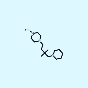 CC(C)(CCN1CCN(C(C)(C)C)CC1)CN1CCCCC1